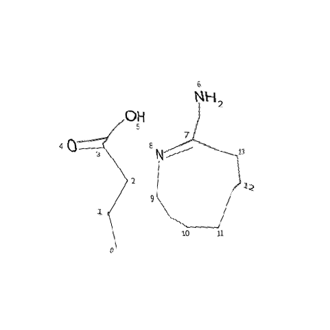 CCCC(=O)O.NC1=NCCCCC1